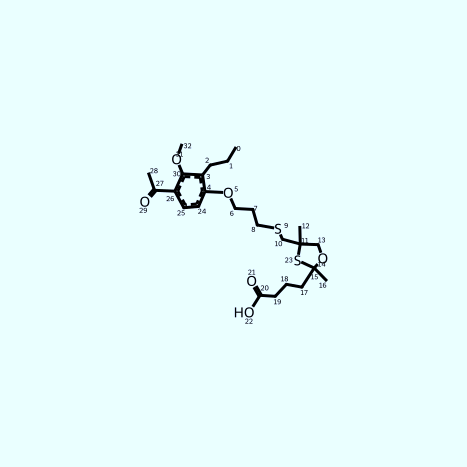 CCCc1c(OCCCSCC2(C)COC(C)(CCCC(=O)O)S2)ccc(C(C)=O)c1OC